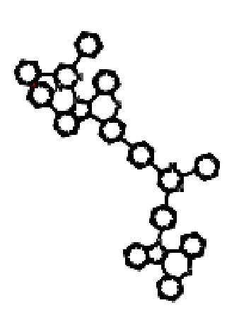 c1ccc(-c2cc(-c3ccccc3)nc(-n3c4c(c5cccc(-c6ccccc6)c53)-c3ccc(-c5ccc(-c6cc(-c7ccc(-n8c9c(c%10ccccc%108)-c8ccccc8Sc8ccccc8-9)cc7)nc(-c7ccccc7)n6)cc5)cc3Sc3ccccc3-4)n2)cc1